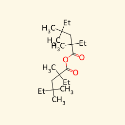 CCC(C)(C)CC(C)(CC)C(=O)OC(=O)C(C)(CC)CC(C)(C)CC